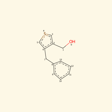 OCc1cscc1Cc1ccccc1